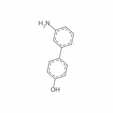 Nc1cc[c]c(-c2ccc(O)cc2)c1